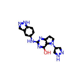 Oc1nc(Nc2ccc3[nH]ncc3c2)nc2ccn(-c3cn[nH]c3)c12